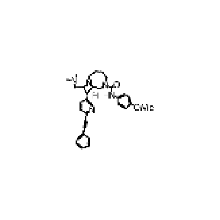 COc1ccc(NC(=O)N2CCCCN3[C@H](CN(C)C)[C@H](c4ccc(C#Cc5ccccc5)nc4)[C@@H]3C2)cc1